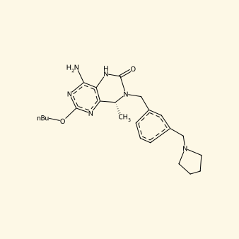 CCCCOc1nc(N)c2c(n1)[C@@H](C)N(Cc1cccc(CN3CCCC3)c1)C(=O)N2